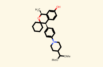 COC(OC)C1CCN(c2ccc([C@@H]3c4ccc(O)cc4[C@H](C)OC34CCCCC4)cc2)CC1